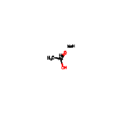 C[AsH](=O)O.[NaH]